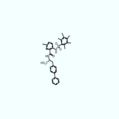 Cc1c(C)c(C)c(S(=O)(=O)Nc2ccc(I)cc2C(=O)N[C@@H](Cc2ccc(-c3ccccc3)cc2)C(=O)O)c(C)c1C